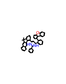 CC1(C)c2cc3ccccc3cc2-c2c(/C=C/C(NC(=N)c3ccccc3)c3ccccc3-c3cccc4oc5ccccc5c34)cccc21